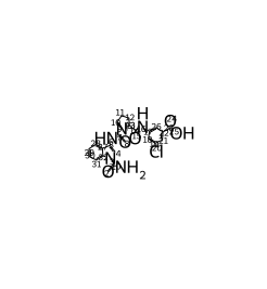 NC(=O)n1cc(NC(=O)N2CCC[C@H]2C(=O)Nc2cc(Cl)cc(C(=O)O)c2)c2ccccc21